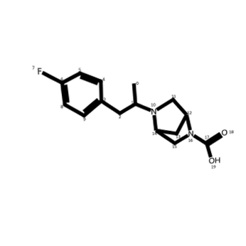 CC(Cc1ccc(F)cc1)N1CC2CC1CN2C(=O)O